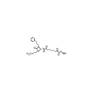 C=CCC[C@@H]1C[C@@H](CNC(=O)CCCCCNC(=O)OC(C)(C)C)N(CCCc2ccccc2)C1=O